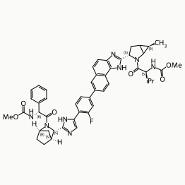 COC(=O)N[C@H](C(=O)N1C2C(C[C@H]1c1nc3ccc4cc(-c5ccc(-c6cnc([C@@H]7[C@H]8CC[C@H](C8)N7C(=O)[C@H](NC(=O)OC)c7ccccc7)[nH]6)c(F)c5)ccc4c3[nH]1)[C@H]2C)C(C)C